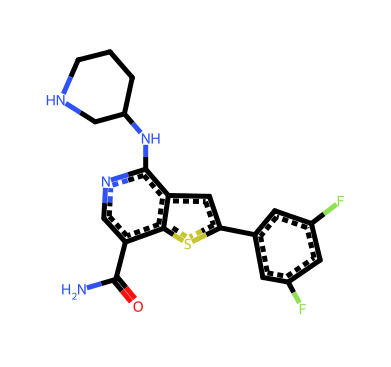 NC(=O)c1cnc(NC2CCCNC2)c2cc(-c3cc(F)cc(F)c3)sc12